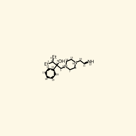 CCC(CC)C(O)(CN1CCN(CC=N)CC1)c1ccccc1